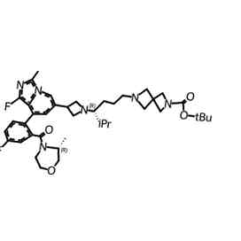 Cc1nc(F)c2c(-c3ccc(F)cc3C(=O)N3CCOC[C@H]3C)cc(C3CN([C@H](CCCN4CC5(C4)CN(C(=O)OC(C)(C)C)C5)C(C)C)C3)cn12